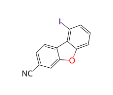 N#Cc1ccc2c(c1)oc1cccc(I)c12